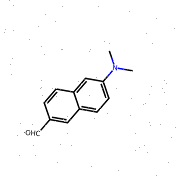 CN(C)c1ccc2cc([C]=O)ccc2c1